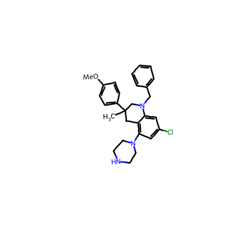 COc1ccc(C2(C)Cc3c(N4CCNCC4)cc(Cl)cc3N(Cc3ccccc3)C2)cc1